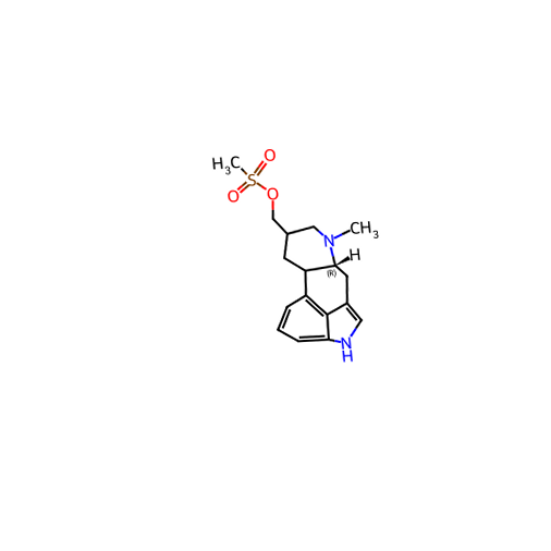 CN1CC(COS(C)(=O)=O)CC2c3cccc4[nH]cc(c34)C[C@H]21